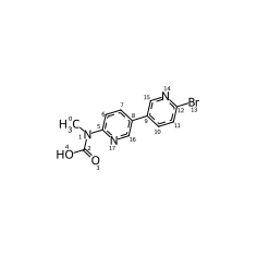 CN(C(=O)O)c1ccc(-c2ccc(Br)nc2)cn1